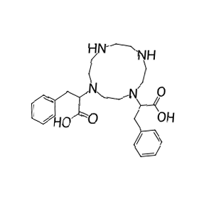 O=C(O)C(Cc1ccccc1)N1CCNCCNCCN(C(Cc2ccccc2)C(=O)O)CC1